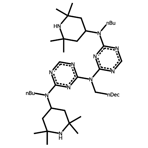 CCCCCCCCCCCN(c1ncnc(N(CCCC)C2CC(C)(C)NC(C)(C)C2)n1)c1ncnc(N(CCCC)C2CC(C)(C)NC(C)(C)C2)n1